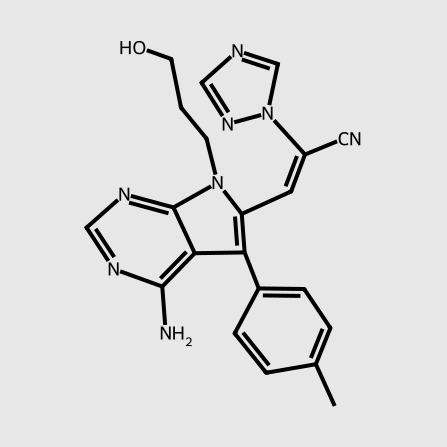 Cc1ccc(-c2c(/C=C(/C#N)n3cncn3)n(CCCO)c3ncnc(N)c23)cc1